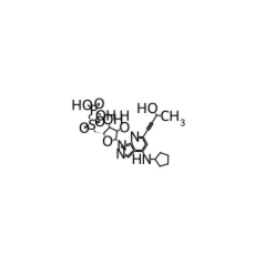 CC(O)C#Cc1cc(NC2CCCC2)c2cnn([C@@H]3O[C@H](CS(=O)(=O)CP(=O)(O)O)[C@@H](O)[C@H]3O)c2n1